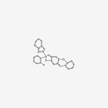 Fc1ccccc1C1(c2cc3ccccc3o2)C=c2cc3c(cc2S1)=Cc1ccccc1O3